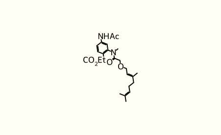 CCOC(=O)c1ccc(NC(C)=O)cc1N(C)C(=O)COC/C=C(\C)CCC=C(C)C